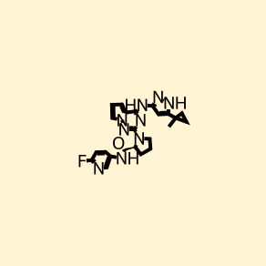 CC1(c2cc(Nc3nc(N4CCC[C@H]4C(=O)Nc4ccc(F)nc4)nn4cccc34)n[nH]2)CC1